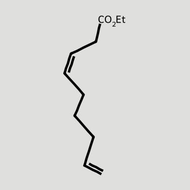 C=CCCC/C=C\CC(=O)OCC